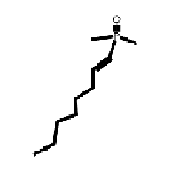 CCCCCC/C=C/P(C)(C)=O